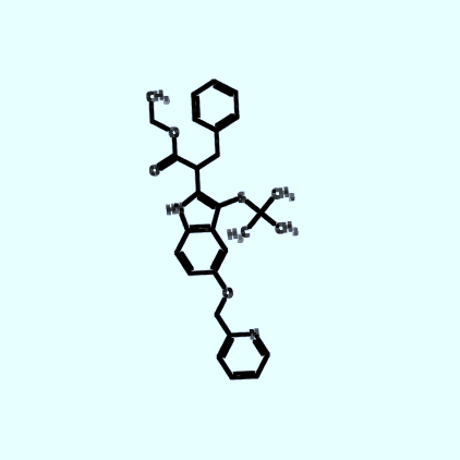 CCOC(=O)C(Cc1ccccc1)c1[nH]c2ccc(OCc3ccccn3)cc2c1SC(C)(C)C